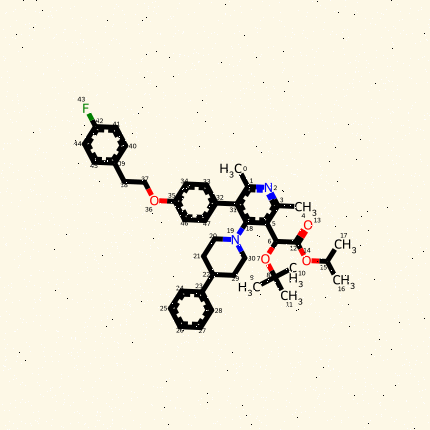 Cc1nc(C)c(C(OC(C)(C)C)C(=O)OC(C)C)c(N2CCC(c3ccccc3)CC2)c1-c1ccc(OCCc2ccc(F)cc2)cc1